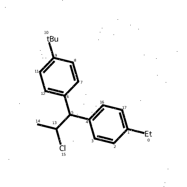 CCc1ccc(C(c2ccc(C(C)(C)C)cc2)C(C)Cl)cc1